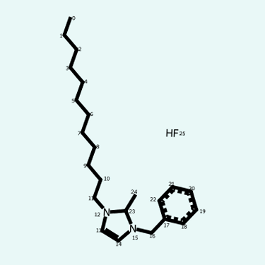 CCCCCCCCCCCCN1C=CN(Cc2ccccc2)C1C.F